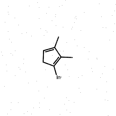 CC1=CC[C]([In])=C1C